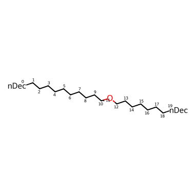 CCCCCCCCCCCCCCCCCCC[CH]OCCCCCCCCCCCCCCCCC